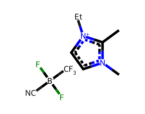 CC[n+]1ccn(C)c1C.N#C[B-](F)(F)C(F)(F)F